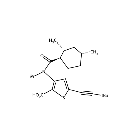 CC(C)N(C(=O)[C@@H]1CC[C@@H](C)C[C@H]1C)c1cc(C#CC(C)(C)C)sc1C(=O)O